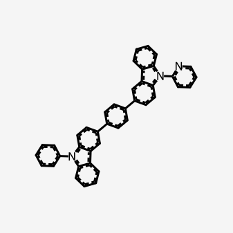 c1ccc(-n2c3ccccc3c3cc(-c4ccc(-c5ccc6c(c5)c5ccccc5n6-c5ccccn5)cc4)ccc32)cc1